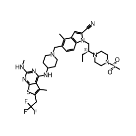 CC[C@@H](Cn1c(C#N)cc2c(C)c(CN3CCC(Nc4nc(NC)nc5sc(CC(F)(F)F)c(C)c45)CC3)ccc21)N1CCN(S(C)(=O)=O)CC1